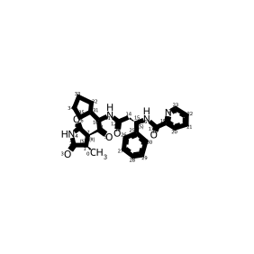 C[C@@H]1C(=O)NC(=O)[C@H]1C(=O)C(NC(=O)C[C@H](NC(=O)c1ccccn1)c1ccccc1)C1CCCC1